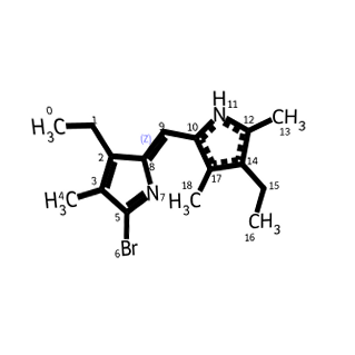 CCC1=C(C)C(Br)=N/C1=C\c1[nH]c(C)c(CC)c1C